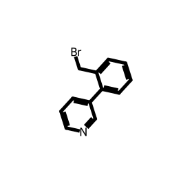 BrCc1ccccc1-c1cccnc1